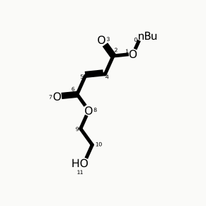 CCCCOC(=O)C=CC(=O)OCCO